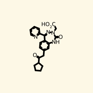 O=C(O)CN1N=C(c2ccccn2)c2ccc(CC(=O)C3CCCC3)cc2NC1=O